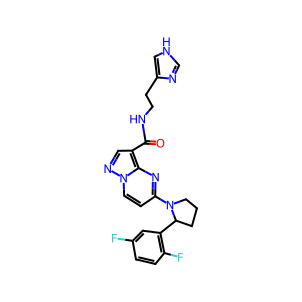 O=C(NCCc1c[nH]cn1)c1cnn2ccc(N3CCCC3c3cc(F)ccc3F)nc12